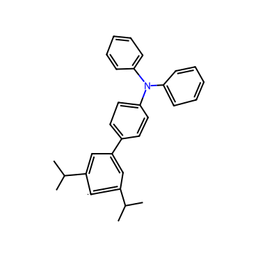 CC(C)c1[c]c(C(C)C)cc(-c2ccc(N(c3ccccc3)c3ccccc3)cc2)c1